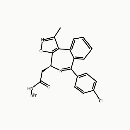 CCCNC(=O)C[C@@H]1N=C(c2ccc(Cl)cc2)c2ccccc2-c2c(C)noc21